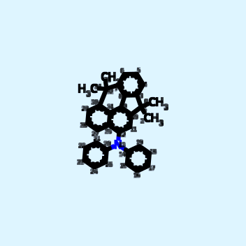 CC1(C)c2cccc3c2-c2c1cc(N(c1ccccc1)c1ccccc1)c1cccc(c21)C3(C)C